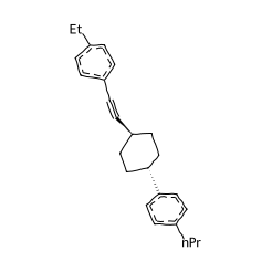 CCCc1ccc([C@H]2CC[C@H](C#Cc3ccc(CC)cc3)CC2)cc1